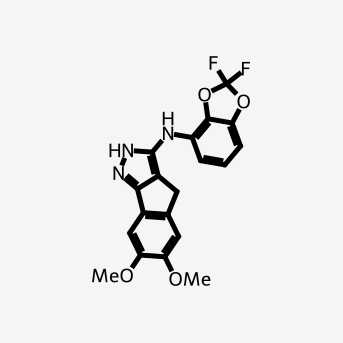 COc1cc2c(cc1OC)-c1n[nH]c(Nc3cccc4c3OC(F)(F)O4)c1C2